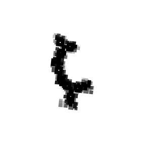 CCN(CC)c1ccc(C(c2ccc(N(CC)CC)cc2)=c2ccc(=c3ncc(=c4ccc(=c5ncc(=c6ccc(=C(c7ccc(C)cc7)c7ccc(C)cc7)cc6)o5)cc4)o3)cc2)cc1